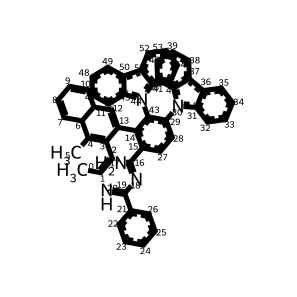 C/C=C\C1=C(C)C2C=CC=CC2C=C1c1c(/C(N)=N/C(=N)c2ccccc2)ccc(-n2c3ccccc3c3ccccc32)c1-n1c2ccccc2c2ccccc21